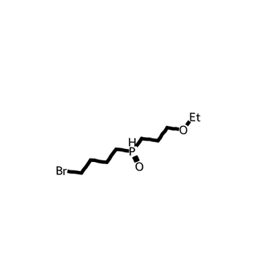 CCOCCC[PH](=O)CCCCBr